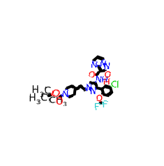 CC(C)(C)OC(=O)N1CCC(=CCn2cc(NC(=O)c3c(O)nn4cccnc34)c(-c3cc(Cl)ccc3OC(F)F)n2)CC1